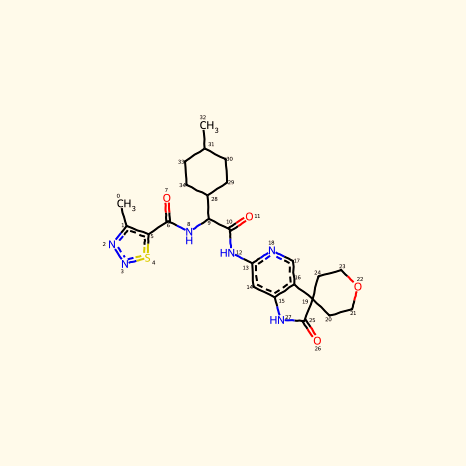 Cc1nnsc1C(=O)NC(C(=O)Nc1cc2c(cn1)C1(CCOCC1)C(=O)N2)C1CCC(C)CC1